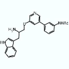 CC(=O)Nc1cccc(-c2cncc(OCC(N)Cc3c[nH]c4ccccc34)c2)c1